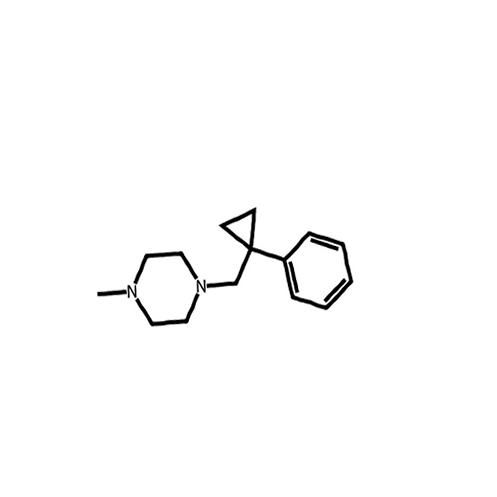 CN1CCN(CC2(c3ccccc3)CC2)CC1